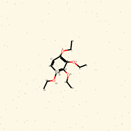 CCOC1=C(OCC)[C](OCC)=[Ge]([O]CC)[CH]=C1